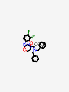 Nc1ccc(F)c(F)c1OC1(C(C(=O)O)N(Cc2ccccc2)Cc2ccccc2)CCOCC1